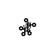 c1ccc(B2c3c(sc4ccccc34)N(c3nc(-c4ccccc4)nc(-c4ccccc4)n3)c3sc4ccccc4c32)cc1